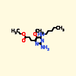 CCCCCNc1nc(N)nc(CCC(=O)OCC)c1OC